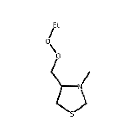 CCOOCC1CSCN1C